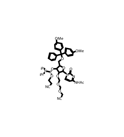 COc1ccc(C(OCC2OC(n3ccc(NC(C)=O)nc3=O)C(OCOCOCC#N)C2OP(OCCC#N)N(C(C)C)C(C)C)(c2ccccc2)c2ccc(OC)cc2)cc1